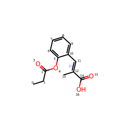 CCC(=O)Oc1ccccc1/C=C(\C)C(=O)O